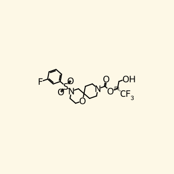 O=C(O[C@H](CO)C(F)(F)F)N1CCC2(CC1)CN(S(=O)(=O)c1cccc(F)c1)CCO2